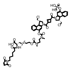 CN(CCN(C)C(=O)Oc1cc2c(c3ccccc13)[C@H](CCl)CN2C(=O)C12CC(C(=O)N3C[C@@H](CCl)c4c3cc(OP(=O)(O)O)c3ccccc43)(C1)C2)C(=O)OCCSSC[C@H](NC(=O)CCCCCN1C(=O)C=CC1=O)C(=O)O